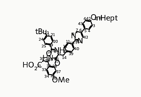 CCCCCCCOc1ccc(-c2cnc(-c3ccc(C[C@H](NC(=O)c4ccc(C(C)(C)C)cc4)C(=O)NC(CC(=O)O)c4ccc(OC)cc4)cc3)nc2)cc1